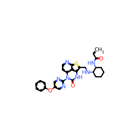 C=CC(=O)N[C@H]1CCCC[C@H]1NCc1sc2nccc3c2c1NC(=O)N3c1ncc(Oc2ccccc2)cn1